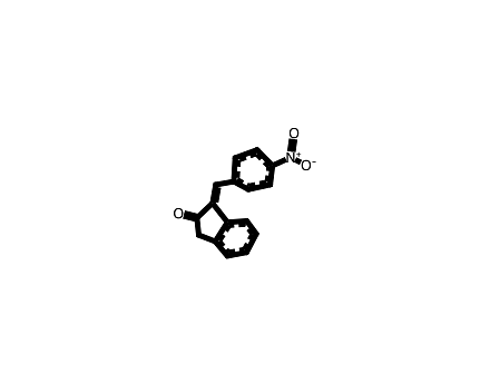 O=C1Cc2ccccc2/C1=C\c1ccc([N+](=O)[O-])cc1